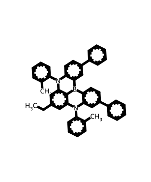 CCc1cc2c3c(c1)N(c1ccccc1C)c1cc(-c4ccccc4)ccc1B3c1cc(-c3ccccc3)ccc1N2c1ccccc1C